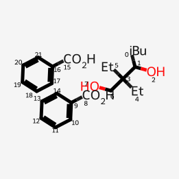 CCC(C)C(O)C(CC)(CC)CO.O=C(O)c1ccccc1.O=C(O)c1ccccc1